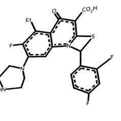 CCc1c(F)c(N2CCNCC2)cc2c1c(=O)c(C(=O)O)c1n2C(c2ccc(F)cc2F)S1